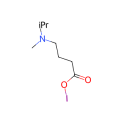 CC(C)N(C)CCCC(=O)OI